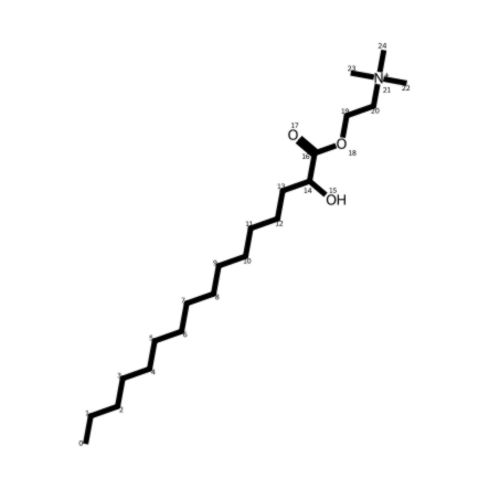 CCCCCCCCCCCCCCC(O)C(=O)OCC[N+](C)(C)C